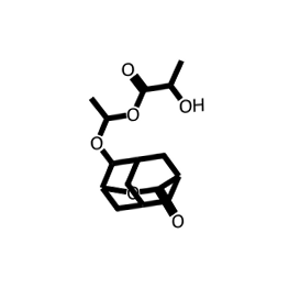 CC(OC(=O)C(C)O)OC1C2CC3CC(C2)C(=O)OC1C3